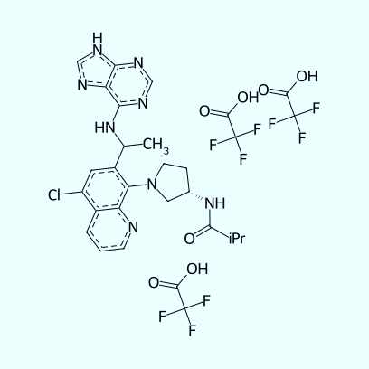 CC(C)C(=O)N[C@H]1CCN(c2c(C(C)Nc3ncnc4[nH]cnc34)cc(Cl)c3cccnc23)C1.O=C(O)C(F)(F)F.O=C(O)C(F)(F)F.O=C(O)C(F)(F)F